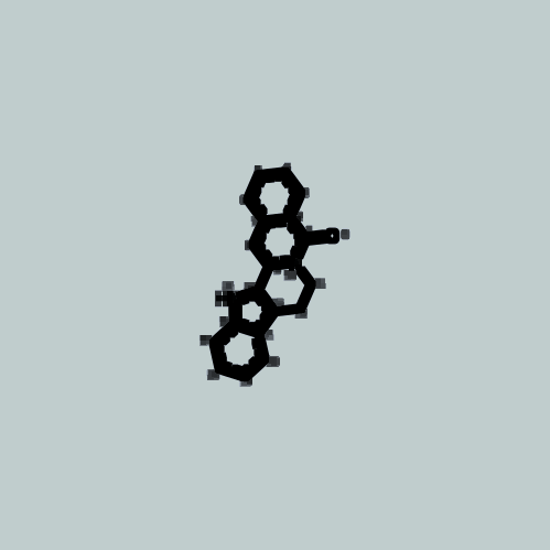 O=c1c2ccccc2cc2n1CCc1c-2[nH]c2ccccc12